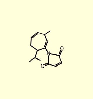 CC1C=CCC(C(C)C)C(N2C(=O)C=CC2=O)=C1